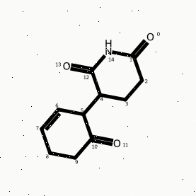 O=C1CCC(C2C=CCCC2=O)C(=O)N1